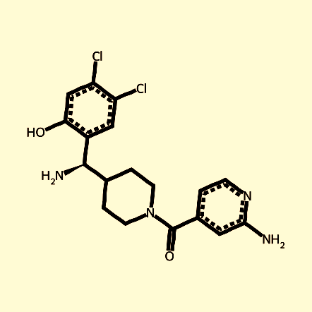 Nc1cc(C(=O)N2CCC([C@@H](N)c3cc(Cl)c(Cl)cc3O)CC2)ccn1